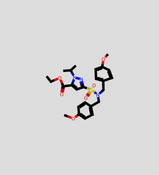 CCOC(=O)c1cc(S(=O)(=O)N(Cc2ccc(OC)cc2)Cc2ccc(OC)cc2)nn1C(C)C